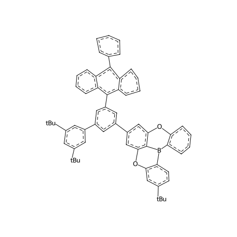 CC(C)(C)c1cc(-c2cc(-c3cc4c5c(c3)Oc3cc(C(C)(C)C)ccc3B5c3ccccc3O4)cc(-c3c4ccccc4c(-c4ccccc4)c4ccccc34)c2)cc(C(C)(C)C)c1